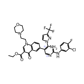 C=C(/N=C\C(=C(/N)n1ccc(C(F)(F)F)n1)c1ccc2c(c1)c(=O)c(C(=O)OCC)cn2CCN1CCOCC1)Nc1ccc(F)c(Cl)c1